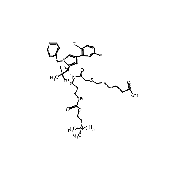 CC(C)(C)[C@H](c1cc(-c2cc(F)ccc2F)cn1Cc1ccccc1)N(CCCNC(=O)OCC[Si](C)(C)C)C(=O)CSCCCCCC(=O)O